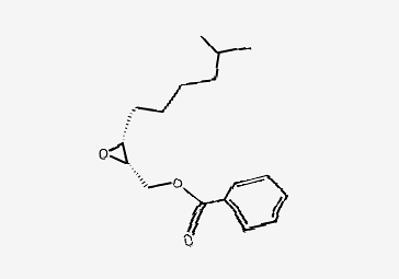 CC(C)CCCC[C@H]1O[C@H]1COC(=O)c1ccccc1